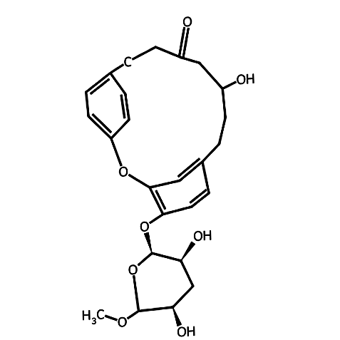 COC1O[C@@H](Oc2ccc3cc2Oc2ccc(cc2)CCC(=O)CC(O)CC3)[C@@H](O)C[C@H]1O